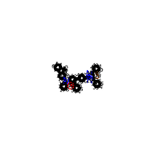 CC1(C)c2ccccc2-c2ccc(N(c3ccccc3)c3ccc(-c4ccc(-c5nc(-c6ccccc6)c6sc7ccccc7c6n5)cc4)c4c3oc3ccccc34)cc21